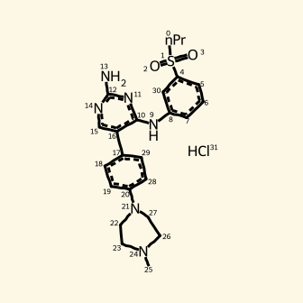 CCCS(=O)(=O)c1cccc(Nc2nc(N)ncc2-c2ccc(N3CCN(C)CC3)cc2)c1.Cl